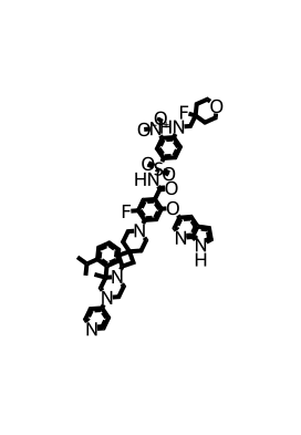 CC(C)c1ccccc1C1(C)CN(c2ccncc2)CCN1C1CC2(CCN(c3cc(Oc4cnc5[nH]ccc5c4)c(C(=O)NS(=O)(=O)c4ccc(NCC5(F)CCOCC5)c([N+](=O)[O-])c4)cc3F)CC2)C1